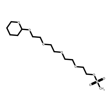 CS(=O)(=O)OCCOCCOCCOCCOC1CCCCO1